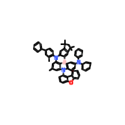 Cc1cc2c3c(c1)N(c1cccc4oc5ccccc5c14)c1ccc(N(c4ccccc4)c4ccccc4)cc1B3c1cc3c(cc1N2c1ccc(-c2ccccc2)cc1C)C(C)(C)CC3(C)C